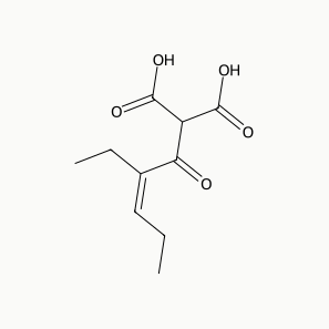 CC/C=C(/CC)C(=O)C(C(=O)O)C(=O)O